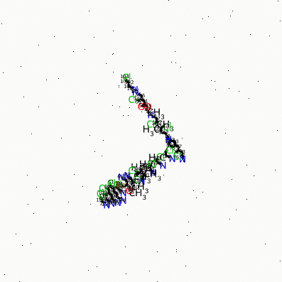 CC(C#N)CCl.CC(C#N)CCl.CC(CCl)CCC#N.CC(Cl)C#N.CC(Cl)C(C)C(C)C#N.CC(Cl)CC#N.CCC(Cl)C#N.CCOC(=O)CC(CCl)CC#N.COCC(CCl)CC#N.N#CCBr.N#CCC(CCl)Cc1ccccc1.N#CCCCCCCl.N#CCCCCCl.N#CCCCCl.N#CCCCl.N#CCCl